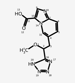 COC(Cc1ccc2ncc(C(=O)O)n2c1)c1nnn[nH]1